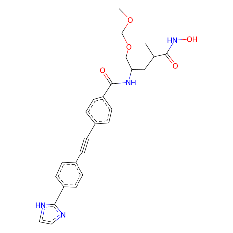 COCOCC(CC(C)C(=O)NO)NC(=O)c1ccc(C#Cc2ccc(-c3ncc[nH]3)cc2)cc1